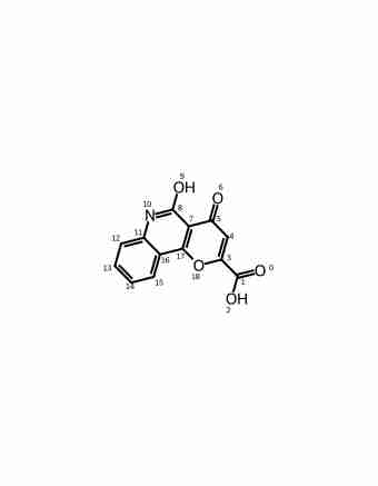 O=C(O)c1cc(=O)c2c(O)nc3ccccc3c2o1